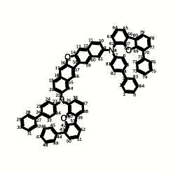 c1ccc(-c2ccc(N(c3ccc4cc5oc6cc7ccc(N(c8ccc(-c9ccccc9)cc8)c8cccc9c8oc8c(-c%10ccccc%10)cccc89)cc7cc6c5cc4c3)c3cccc4c3oc3c(-c5ccccc5)cccc34)cc2)cc1